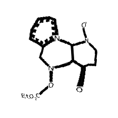 CCOC(=O)ON1Cc2cccn2C2C1C(=O)CCN2Cl